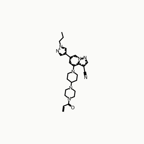 C=CC(=O)N1CCN(C2CCN(c3cc(-c4cnn(CCC)c4)cn4ncc(C#N)c34)CC2)CC1